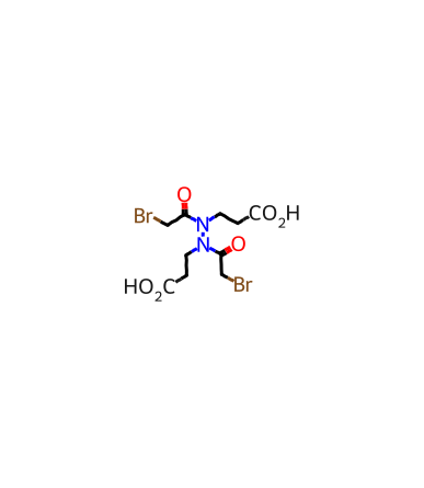 O=C(O)CCN(C(=O)CBr)N(CCC(=O)O)C(=O)CBr